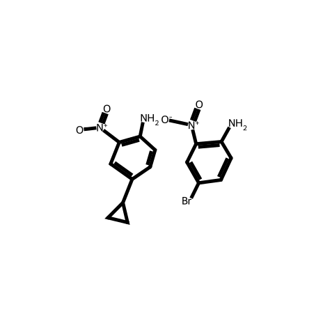 Nc1ccc(Br)cc1[N+](=O)[O-].Nc1ccc(C2CC2)cc1[N+](=O)[O-]